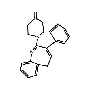 C1=C(c2ccccc2)C(N2CCNCC2)=Nc2ccccc2C1